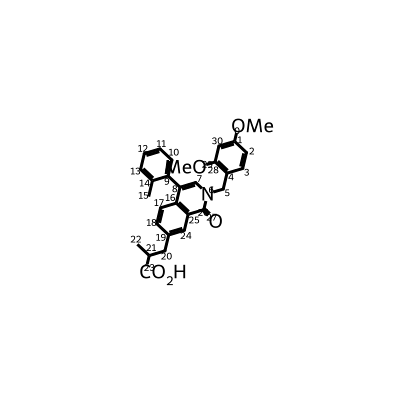 COc1ccc(Cn2cc(-c3ccccc3C)c3ccc(CC(C)C(=O)O)cc3c2=O)c(OC)c1